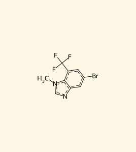 Cn1cnc2cc(Br)cc(C(F)(F)F)c21